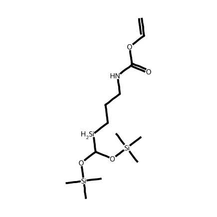 C=COC(=O)NCCC[SiH2]C(O[Si](C)(C)C)O[Si](C)(C)C